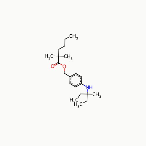 CCCCC(C)(C)C(=O)OCc1ccc(NC(C)(CC)CC)cc1